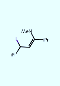 CN/C(=C\C(I)C(C)C)C(C)C